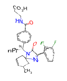 CCC[C@H](c1ccc(C(=O)NCCC(=O)O)cc1)N1C(=O)C(c2cccc(F)c2F)=NC12CC=CC(C)C2